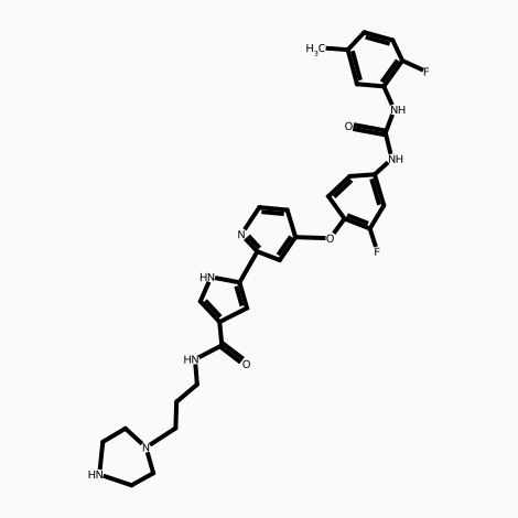 Cc1ccc(F)c(NC(=O)Nc2ccc(Oc3ccnc(-c4cc(C(=O)NCCCN5CCNCC5)c[nH]4)c3)c(F)c2)c1